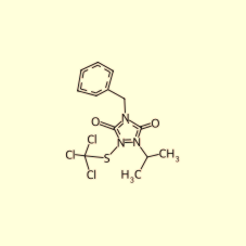 CC(C)n1c(=O)n(Cc2ccccc2)c(=O)n1SC(Cl)(Cl)Cl